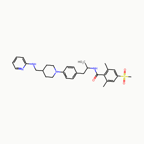 Cc1cc(S(C)(=O)=O)cc(C)c1C(=O)NC(Cc1ccc(N2CCC(CNc3ccccn3)CC2)cc1)C(=O)O